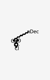 CCCCCCCCCCCCCCC=CCCC1CC(=O)N(C2=CC=C(Cl)[CH]C2)C1=O